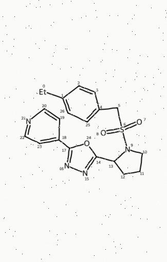 CCc1ccc(CS(=O)(=O)N2CCCC2c2nnc(-c3ccncc3)o2)cc1